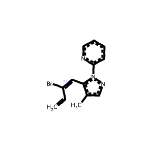 C=C/C(Br)=C\c1c(C)cnn1-c1ccccn1